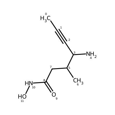 CC#CC(N)C(C)CC(=O)NO